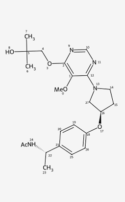 COc1c(OCC(C)(C)O)ncnc1N1CC[C@@H](Oc2ccc([C@H](C)NC(C)=O)cc2)C1